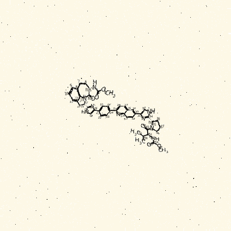 COC(=O)N[C@H]1CCc2cccc3c2N(C1=O)[C@H](c1nc(-c2ccc(-c4ccc5cc(-c6c[nH]c([C@@H]7CCCN7C(=O)[C@@H](NC(=O)OC)C(C)C)n6)ccc5n4)cc2)c[nH]1)C3